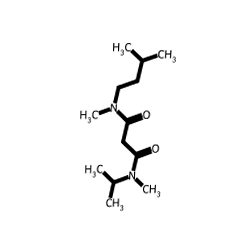 CC(C)CCN(C)C(=O)CC(=O)N(C)C(C)C